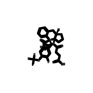 O=C(O)CCC(=O)N(C1CC1)[C@@]12CCC[C@@H]1Cc1ccccc1[N@@+]2(Cc1ccc(OC(F)(F)F)c(F)c1)C(=O)O